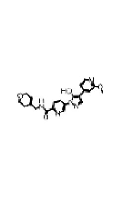 COc1cc(-c2cnn(-c3ccc(C(=O)NCC4CCOCC4)nc3)c2O)ccn1